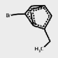 CCc1cc2cc(Br)c1o2